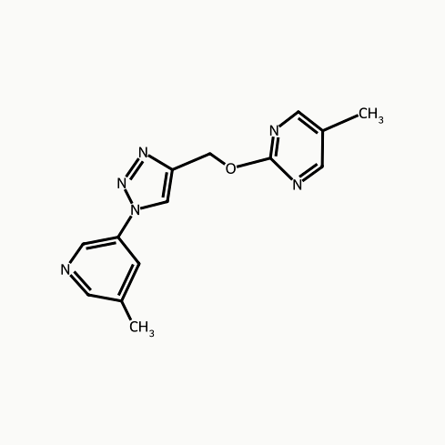 Cc1cnc(OCc2cn(-c3cncc(C)c3)nn2)nc1